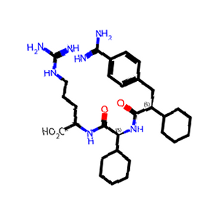 N=C(N)NCCCC(NC(=O)[C@@H](NC(=O)[C@@H](Cc1ccc(C(=N)N)cc1)C1CCCCC1)C1CCCCC1)C(=O)O